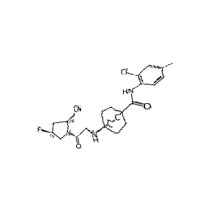 Cc1ccc(NC(=O)C23CCC(NCC(=O)N4C[C@@H](F)C[C@H]4C#N)(CC2)CC3)c(Cl)c1